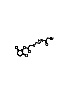 O=C(CBr)NCCSCC(=O)ON1C(=O)CCC1=O